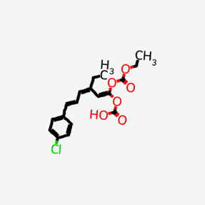 CCOC(=O)OC(=CC(=CC=Cc1ccc(Cl)cc1)CC)OC(=O)O